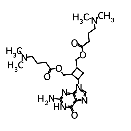 CN(C)CCCC(=O)OC[C@H]1C[C@@H](n2cnc3c(=O)[nH]c(N)nc32)[C@H]1COC(=O)CCCN(C)C